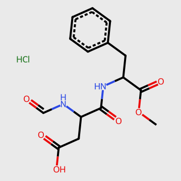 COC(=O)C(Cc1ccccc1)NC(=O)C(CC(=O)O)NC=O.Cl